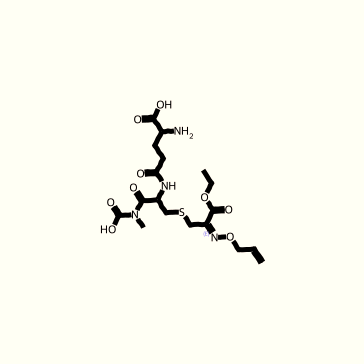 C=CCO/N=C(/CSCC(NC(=O)CCC(N)C(=O)O)C(=O)N(C)C(=O)O)C(=O)OCC